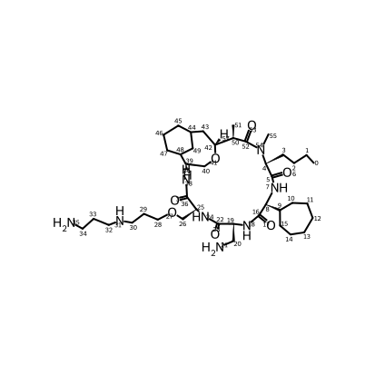 CCCC[C@H]1C(=O)N[C@@H](C2CCCCCC2)C(=O)N[C@@H](CN)C(=O)N[C@@H](COCCCNCCCN)C(=O)N[C@H]2CO[C@H](CC3CCCC2C3)[C@@H](C)C(=O)N1C